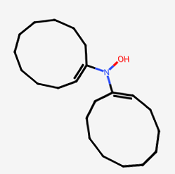 ON(C1=CCCCCCCCCC1)C1=CCCCCCCCCC1